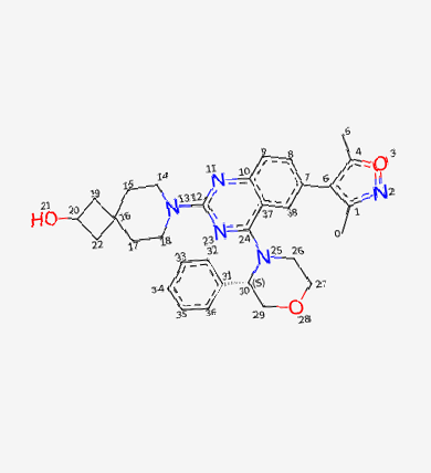 Cc1noc(C)c1-c1ccc2nc(N3CCC4(CC3)CC(O)C4)nc(N3CCOC[C@@H]3c3ccccc3)c2c1